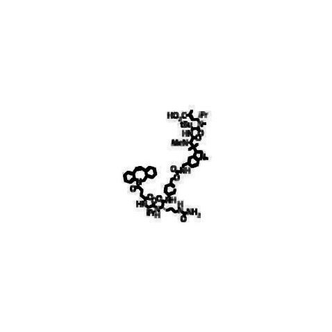 C=C(/C=C\C(=C/C)NC(=O)[C@H](CCCNC(N)=O)NC(=O)[C@@H](NC(=O)CCC(=O)N1Cc2ccccc2C#Cc2ccccc21)C(C)C)COC(=O)NCc1ccc2c(c1)c(C(C)(C)[C@@H](NC)C(=O)N[C@H](C(=O)N(C)[C@H](/C=C(\C)C(=O)O)C(C)C)C(C)(C)C)cn2C